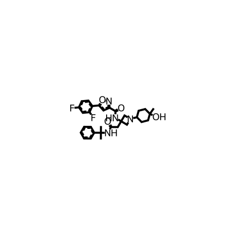 CC1(O)CCC(N2CC(CC(=O)NC(C)(C)c3ccccc3)(NC(=O)c3cc(-c4ccc(F)cc4F)on3)C2)CC1